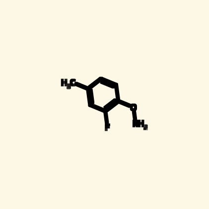 Cc1ccc(ON)c(F)c1